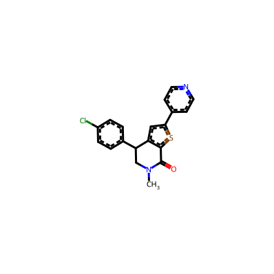 CN1CC(c2ccc(Cl)cc2)c2cc(-c3ccncc3)sc2C1=O